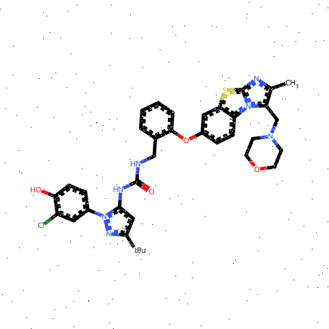 Cc1nc2sc3cc(Oc4ccccc4CNC(=O)Nc4cc(C(C)(C)C)nn4-c4ccc(O)c(Cl)c4)ccc3n2c1CN1CCOCC1